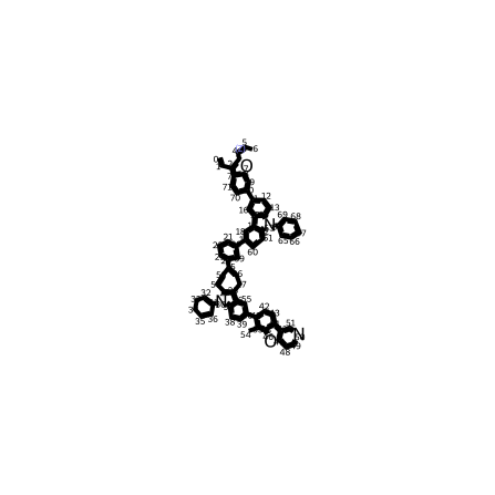 C=Cc1c(/C=C\C)oc2cc(-c3ccc4c(c3)c3cc(-c5cccc(C6=CCc7c(n(C8=CCCC=C8)c8ccc(-c9ccc%10c(oc%11ccncc%11%10)c9C)cc78)C=C6)c5)ccc3n4-c3ccccc3)ccc12